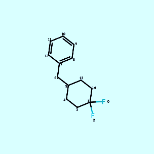 FC1(F)CCC([CH]c2ccccc2)CC1